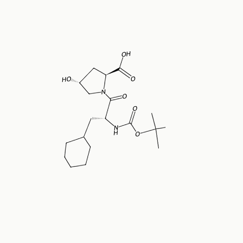 CC(C)(C)OC(=O)N[C@H](CC1CCCCC1)C(=O)N1C[C@H](O)C[C@H]1C(=O)O